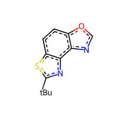 CC(C)(C)c1nc2c(ccc3ocnc32)s1